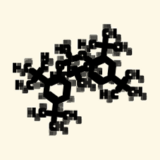 CC(C)(C)c1ccc(O[PH](O)(Oc2ccc(C(C)(C)C)cc2C(C)(C)C)C(C)(C)C)c(C(C)(C)C)c1